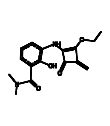 C=C1C(=O)C(Nc2cccc(C(=O)N(C)C)c2O)=C1OCC